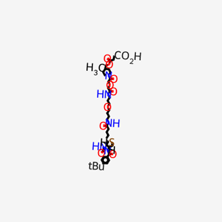 CC1(COC(=O)CCC(=O)O)CCN(C(=O)COCC(=O)NCCCOCCCCNC(=O)CCCC[C@@H]2SC[C@H]3[C@@H]2NC(=O)N3C(=O)c2ccc(C(C)(C)C)cc2)CC1